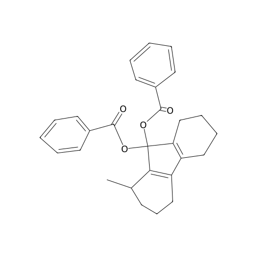 CC1CCCC2=C1C(OC(=O)c1ccccc1)(OC(=O)c1ccccc1)C1=C2CCCC1